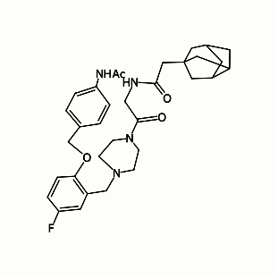 CC(=O)Nc1ccc(COc2ccc(F)cc2CN2CCN(C(=O)CNC(=O)CC34CC5CC(C3)C(C5)C4)CC2)cc1